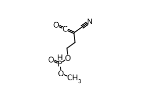 CO[PH](=O)OCCC(=C=O)C#N